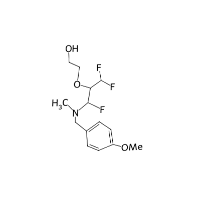 COc1ccc(CN(C)C(F)C(OCCO)C(F)F)cc1